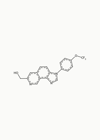 OCc1cc2ccc3c(ncn3-c3ccc(OC(F)(F)F)cc3)c2cn1